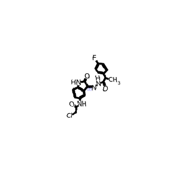 CC(C(=O)N/N=C1\C(=O)Nc2ccc(NC(=O)CCl)cc21)c1ccc(F)cc1